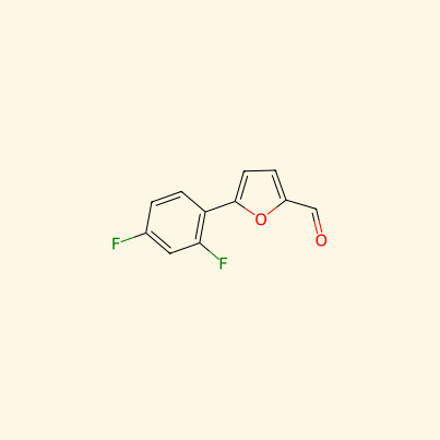 O=Cc1ccc(-c2ccc(F)cc2F)o1